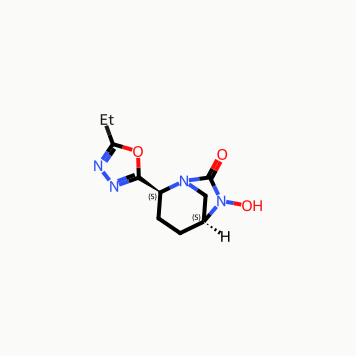 CCc1nnc([C@@H]2CC[C@H]3CN2C(=O)N3O)o1